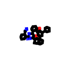 N#Cc1ccccc1C1N=C(c2cccc3oc4c(-c5ccccc5)cc(-c5ccccc5)cc4c23)c2oc3ccccc3c2N1